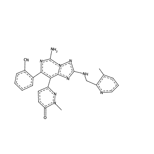 Cc1cccnc1CNc1nc2c(-c3ccc(=O)n(C)n3)c(-c3ccccc3C#N)nc(N)n2n1